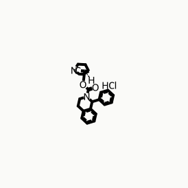 Cl.O=C(O[C@H]1CN2CCC1CC2)N1CCc2ccccc2C1c1ccccc1